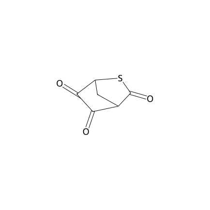 O=C1C(=O)C2CC1SC2=O